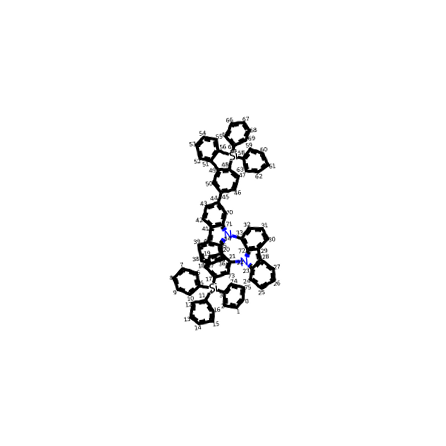 c1ccc([Si](c2ccccc2)(c2ccccc2)c2cccc(-n3c4ccccc4c4cccc(-n5c6ccccc6c6ccc(-c7ccc8c(c7)-c7ccccc7[Si]8(c7ccccc7)c7ccccc7)cc65)c43)c2)cc1